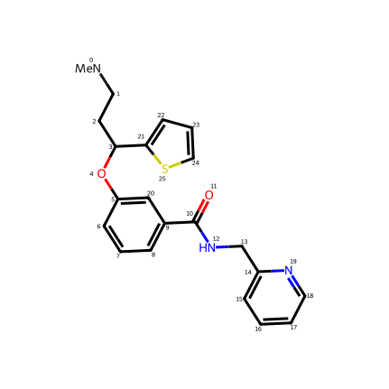 CNCCC(Oc1cccc(C(=O)NCc2ccccn2)c1)c1cccs1